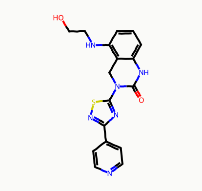 O=C1Nc2cccc(NCCO)c2CN1c1nc(-c2ccncc2)ns1